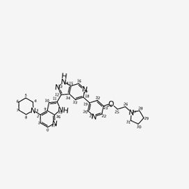 c1cc(N2CCCCC2)c2cc(-c3n[nH]c4cnc(-c5cncc(OCCN6CCCC6)c5)cc34)[nH]c2n1